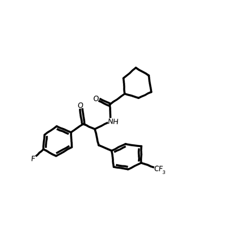 O=C(NC(Cc1ccc(C(F)(F)F)cc1)C(=O)c1ccc(F)cc1)C1CCCCC1